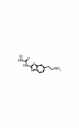 CCNC(=O)Nc1nc2ccc(CCN)cc2s1